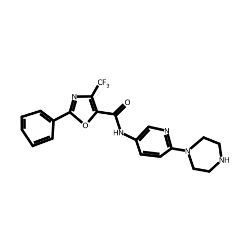 O=C(Nc1ccc(N2CCNCC2)nc1)c1oc(-c2ccccc2)nc1C(F)(F)F